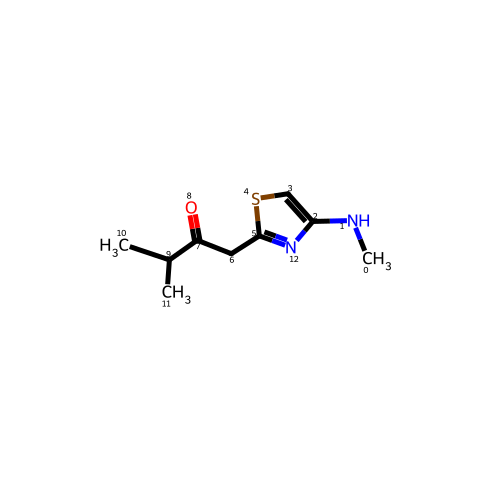 CNc1csc(CC(=O)C(C)C)n1